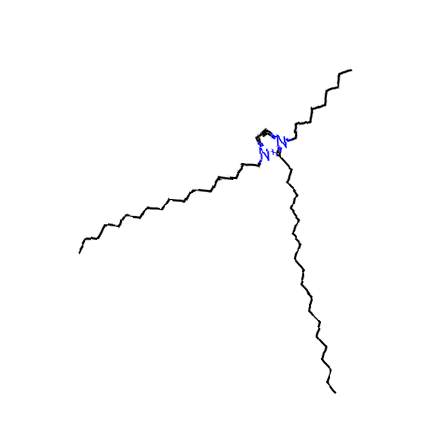 CCCCCCCCCCCCCCCCCCCc1n(CCCCCCCCC)cc[n+]1CCCCCCCCCCCCCCCCC